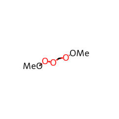 COOCOOOC